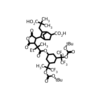 CCC(C)(C(=O)OC1CC(C(C)(OC(=O)OC(C)(C)C)C(F)(F)F)CC(C(OC(=O)OC(C)(C)C)(C(F)(F)F)C(F)(F)F)C1)C1C(=O)OC(=O)C1C1C2CC(C(=O)O)C(C2)C1CC(C)(C)C(=O)O